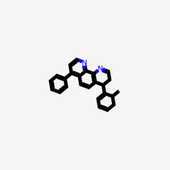 CC1CC=CC=C1C1CC=Nc2c1ccc1c(-c3ccccc3)ccnc21